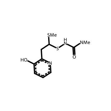 CNC(=O)NSC(Cc1ncccc1O)SC